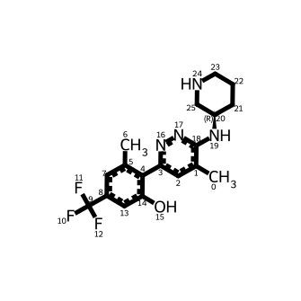 Cc1cc(-c2c(C)cc(C(F)(F)F)cc2O)nnc1N[C@@H]1CCCNC1